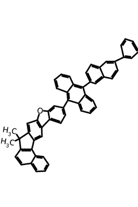 CC1(C)c2cc3oc4cc(-c5c6ccccc6c(-c6ccc7cc(-c8ccccc8)ccc7c6)c6ccccc56)ccc4c3cc2-c2c1ccc1ccccc21